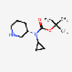 CC(C)(C)OC(=O)N(C1CC1)[C@H]1CCCNC1